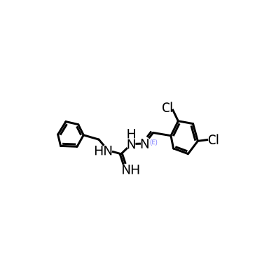 N=C(NCc1ccccc1)N/N=C/c1ccc(Cl)cc1Cl